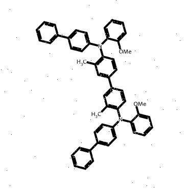 COc1ccccc1N(c1ccc(-c2ccccc2)cc1)c1ccc(-c2ccc(N(c3ccc(-c4ccccc4)cc3)c3ccccc3OC)c(C)c2)cc1C